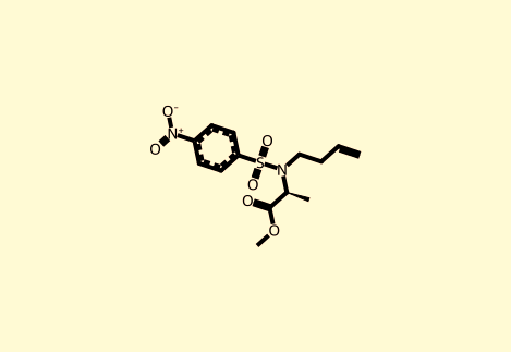 C=CCCN([C@@H](C)C(=O)OC)S(=O)(=O)c1ccc([N+](=O)[O-])cc1